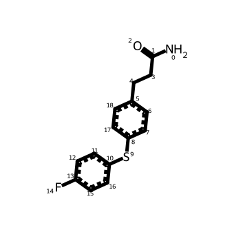 NC(=O)CCc1ccc(Sc2ccc(F)cc2)cc1